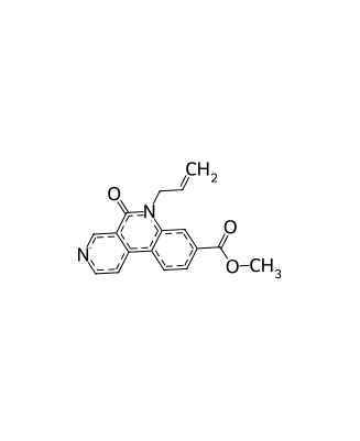 C=CCn1c(=O)c2cnccc2c2ccc(C(=O)OC)cc21